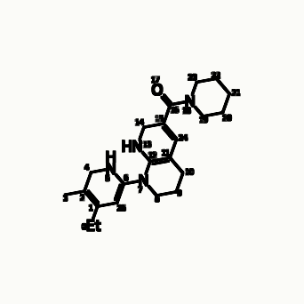 CCC1=C(C)CNC(N2CCCC3=C2NCC(C(=O)N2CCCCC2)=C3)=C1